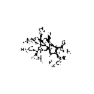 CC[C@](O[SiH](C)C)([C@@H]1C(=O)N2C(C(=O)O)=C([S+](C)[O-])S[C@H]12)C(C)(C)C